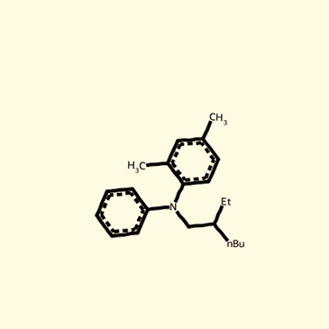 CCCCC(CC)CN(c1ccccc1)c1ccc(C)cc1C